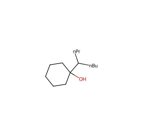 CCCCC(CCC)C1(O)CCCCC1